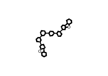 c1cc(-c2ccc(-c3cccc(-c4ccc5c(c4)oc4ccccc45)c3)cc2)cc(-c2cccc(-c3ccc4c(c3)oc3ccccc34)c2)c1